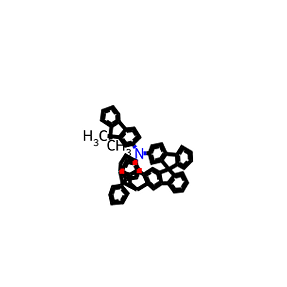 CC1(C)c2ccccc2-c2ccc(N(c3ccc(-c4ccccc4)cc3)c3ccc4c(c3)C3(c5ccccc5-4)c4ccccc4-c4cc5c(cc43)C3CCCC4CC5CC43)cc21